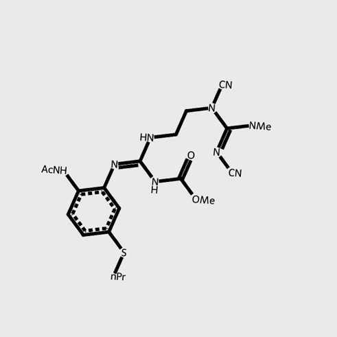 CCCSc1ccc(NC(C)=O)c(N=C(NCCN(C#N)C(=NC#N)NC)NC(=O)OC)c1